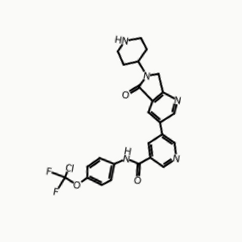 O=C(Nc1ccc(OC(F)(F)Cl)cc1)c1cncc(-c2cnc3c(c2)C(=O)N(C2CCNCC2)C3)c1